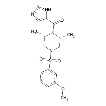 COc1cccc(S(=O)(=O)N2C[C@@H](C)N(C(=O)c3cnn[nH]3)[C@@H](C)C2)c1